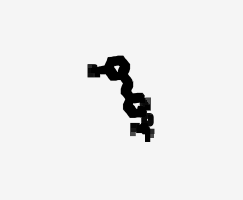 FC(F)Oc1ccc(C=Cc2cccc(Br)c2)cn1